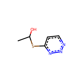 CC(O)Sc1ccnnn1